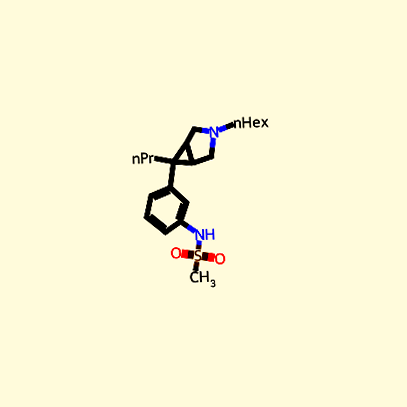 CCCCCCN1CC2C(C1)C2(CCC)c1cccc(NS(C)(=O)=O)c1